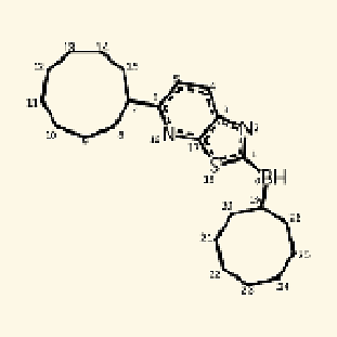 B(c1nc2ccc(C3CCCCCCCC3)nc2s1)C1CCCCCCC1